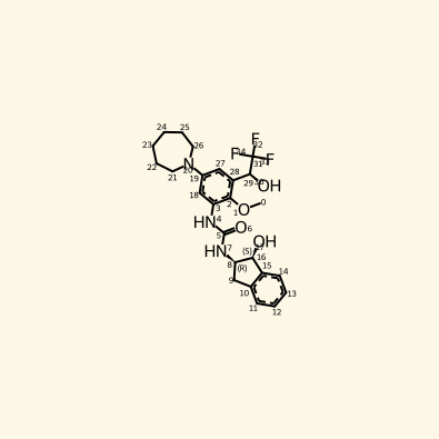 COc1c(NC(=O)N[C@@H]2Cc3ccccc3[C@@H]2O)cc(N2CCCCCC2)cc1C(O)C(F)(F)F